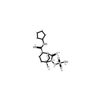 N=C(NC1CCCC1)[C@@H]1CC[C@@H]2CN1C(=O)N2OS(=O)(=O)O